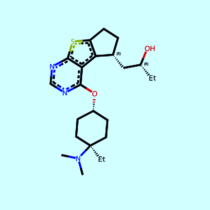 CC[C@@H](O)C[C@H]1CCc2sc3ncnc(O[C@H]4CC[C@](CC)(N(C)C)CC4)c3c21